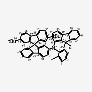 Cc1ccccc1N(c1ccc2c(c1)C1(c3ccccc3-2)c2cc(C(C)(C)C)ccc2-c2ccc(C(C)(C)C)cc21)c1cccc2c1C(C)(C)c1ccccc1-2